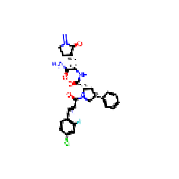 NC(=O)[C@H](C[C@@H]1CCNC1=O)NC(=O)[C@@H]1C[C@@H](c2ccccc2)CN1C(=O)/C=C/c1ccc(Cl)cc1F